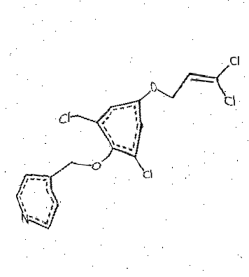 ClC(Cl)=CCOc1cc(Cl)c(OCc2ccncc2)c(Cl)c1